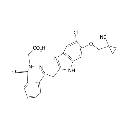 N#CC1(COc2cc3[nH]c(Cc4nn(CC(=O)O)c(=O)c5ccccc45)nc3cc2Cl)CC1